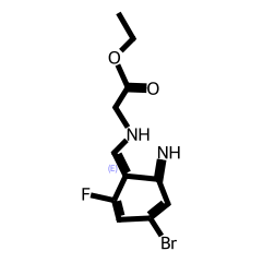 CCOC(=O)CN/C=C1\C(=N)C=C(Br)C=C1F